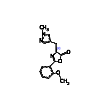 COc1ccccc1C1=N/C(=C\c2cnn(C)c2)C(=O)O1